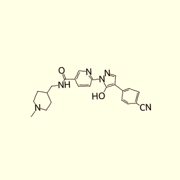 CN1CCC(CNC(=O)c2ccc(-n3ncc(-c4ccc(C#N)cc4)c3O)nc2)CC1